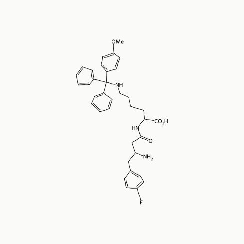 COc1ccc(C(NCCCCC(NC(=O)CC(N)Cc2ccc(F)cc2)C(=O)O)(c2ccccc2)c2ccccc2)cc1